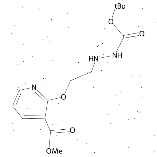 COC(=O)c1cccnc1OCCNNC(=O)OC(C)(C)C